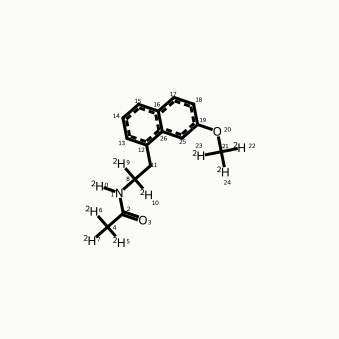 [2H]N(C(=O)C([2H])([2H])[2H])C([2H])([2H])Cc1cccc2ccc(OC([2H])([2H])[2H])cc12